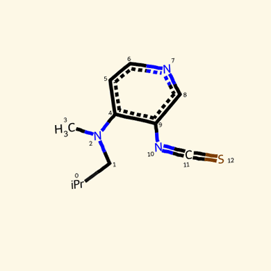 CC(C)CN(C)c1ccncc1N=C=S